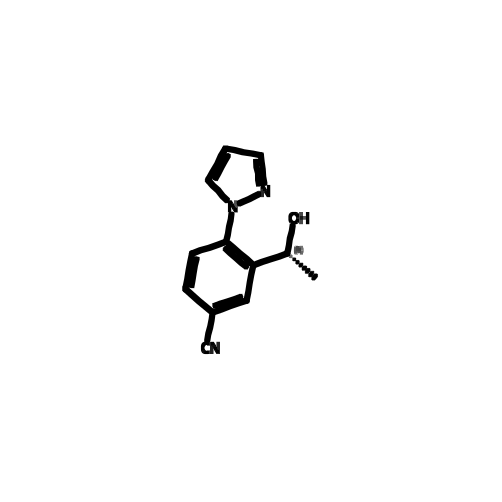 C[C@@H](O)c1cc(C#N)ccc1-n1cccn1